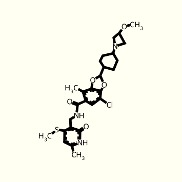 COC1CN(C2CCC(C3Oc4c(Cl)cc(C(=O)NCc5c(SC)cc(C)[nH]c5=O)c(C)c4O3)CC2)C1